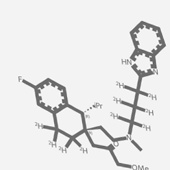 [2H]C([2H])(c1nc2ccccc2[nH]1)C([2H])([2H])C([2H])([2H])N(C)CC[C@]1(CC(=O)COC)[C@@H](C(C)C)c2ccc(F)cc2C([2H])([2H])C1([2H])[2H]